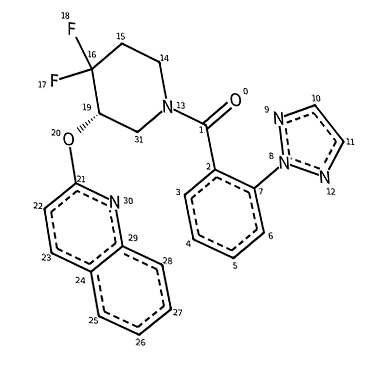 O=C(c1ccccc1-n1nccn1)N1CCC(F)(F)[C@@H](Oc2ccc3ccccc3n2)C1